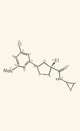 CC[C@@]1(C(=O)NC2CC2)CCN(c2cc(Cl)nc(NC)n2)C1